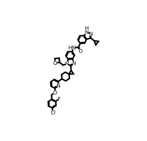 O=C(Nc1ccc2c(c1)nc(C1CC13CCC(c1cccc(OCc4ccc(Cl)cc4F)n1)CC3)n2CC1CCO1)c1ccc2[nH]nc(C3CC3)c2c1